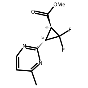 COC(=O)[C@@H]1[C@@H](c2nccc(C)n2)C1(F)F